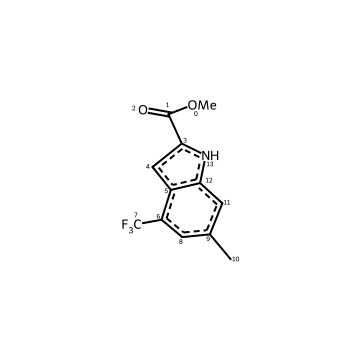 COC(=O)c1cc2c(C(F)(F)F)cc(C)cc2[nH]1